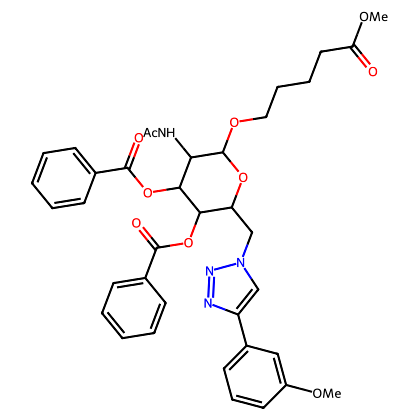 COC(=O)CCCCOC1OC(Cn2cc(-c3cccc(OC)c3)nn2)C(OC(=O)c2ccccc2)C(OC(=O)c2ccccc2)C1NC(C)=O